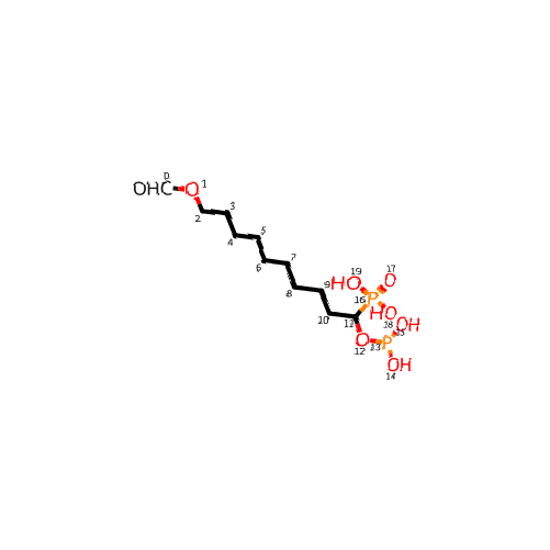 O=COCCCCCCCCCC(OP(O)O)P(=O)(O)O